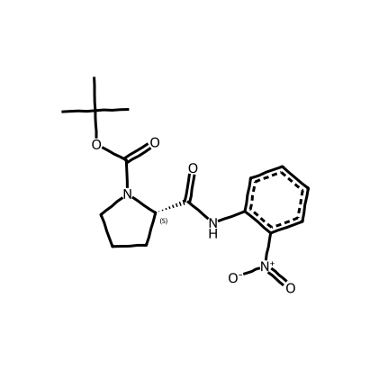 CC(C)(C)OC(=O)N1CCC[C@H]1C(=O)Nc1ccccc1[N+](=O)[O-]